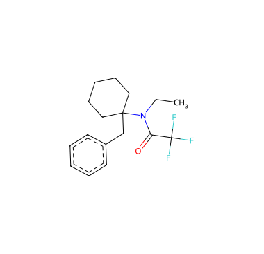 CCN(C(=O)C(F)(F)F)C1(Cc2ccccc2)CCCCC1